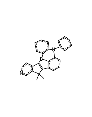 CC1(C)C2=C(B3c4ccccc4N(c4ccccc4)c4cccc2c43)c2ccncc21